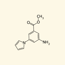 COC(=O)c1cc(N)cc(-n2cccc2)c1